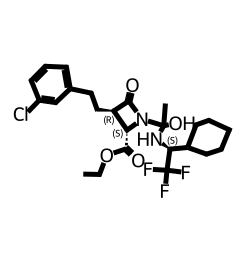 CCOC(=O)[C@@H]1[C@@H](CCc2cccc(Cl)c2)C(=O)N1C(C)(O)N[C@@H](C1CCCCC1)C(F)(F)F